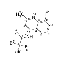 Cc1cc(NC(=O)C(Br)(Br)Br)c2cccc(F)c2n1